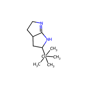 [CH3][Cu]([CH3])([CH3])([CH3])[CH]1CC2CCN=C2N1